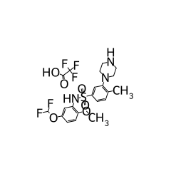 COc1ccc(OC(F)F)cc1NS(=O)(=O)c1ccc(C)c(N2CCNCC2)c1.O=C(O)C(F)(F)F